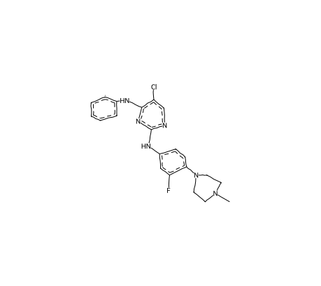 CN1CCN(c2ccc(Nc3ncc(Cl)c(Nc4[c]cccc4)n3)cc2F)CC1